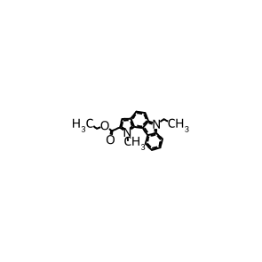 CCOC(=O)c1cc2ccc3c(c4ccccc4n3CC)c2n1C